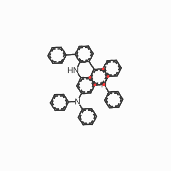 c1ccc(-c2cccc(-c3ccccc3)c2Nc2cc(N(c3ccccc3)c3ccccc3)cc(N(c3ccccc3)c3ccccc3)c2)cc1